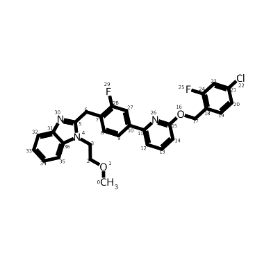 COCCn1c(Cc2ccc(-c3cccc(OCc4ccc(Cl)cc4F)n3)cc2F)nc2ccccc21